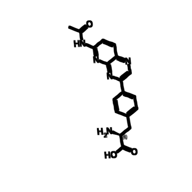 CC(=O)Nc1ccc2ncc(-c3ccc(C[C@H](N)C(=O)O)cc3)nc2n1